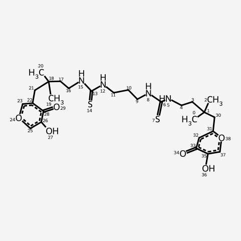 CC(C)(CCNC(=S)NCCCNC(=S)NCCC(C)(C)Cc1cocc(O)c1=O)Cc1cc(=O)c(O)co1